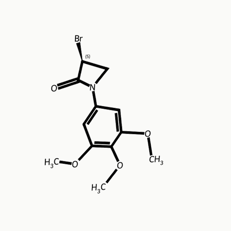 COc1cc(N2C[C@H](Br)C2=O)cc(OC)c1OC